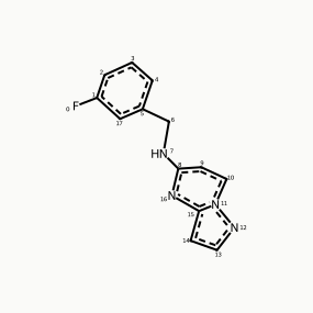 Fc1cccc(CNc2ccn3nccc3n2)c1